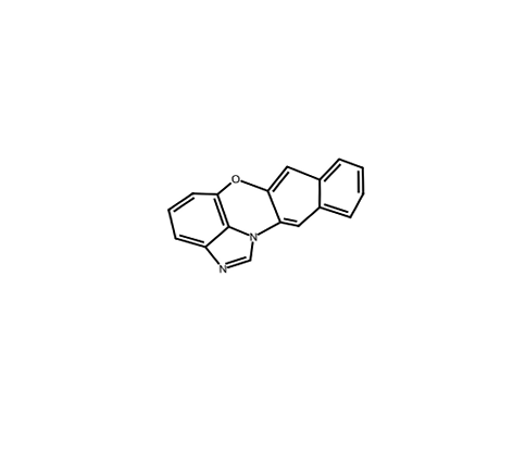 c1ccc2cc3c(cc2c1)Oc1cccc2ncn-3c12